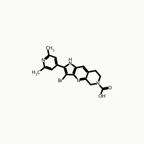 Cc1cc(-c2[nH]c3cc4c(nc3c2Br)CN(C(=O)O)CC4)cc(C)n1